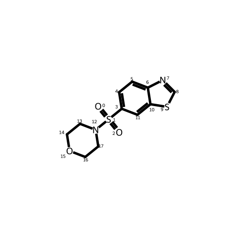 O=S(=O)(c1ccc2ncsc2c1)N1CCOCC1